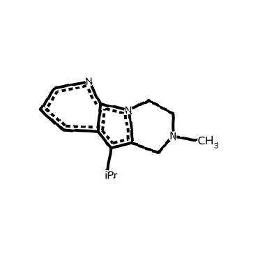 CC(C)c1c2n(c3ncccc13)CCN(C)C2